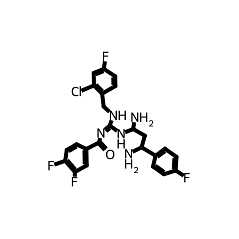 NC(CC(N)c1ccc(F)cc1)N/C(=N\C(=O)c1ccc(F)c(F)c1)NCc1ccc(F)cc1Cl